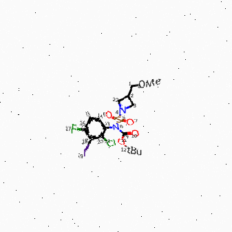 COCC1CN(S(=O)(=O)N(C(=O)OC(C)(C)C)c2ccc(F)c(I)c2Cl)C1